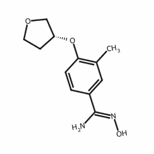 Cc1cc(/C(N)=N/O)ccc1O[C@@H]1CCOC1